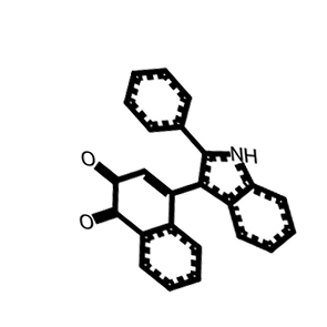 O=C1C=C(c2c(-c3ccccc3)[nH]c3ccccc23)c2ccccc2C1=O